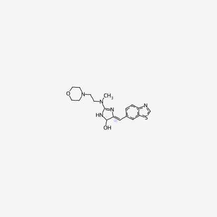 CN(CCN1CCOCC1)C1=N/C(=C\c2ccc3ncsc3c2)C(O)N1